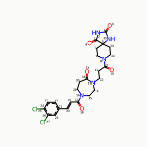 O=C1NC(=O)C2(CCN(C(=O)CCN3CCN(C(=O)C=Cc4ccc(Cl)c(Cl)c4)CCC3=O)CC2)N1